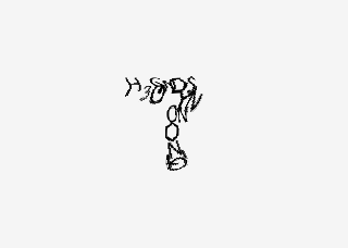 CC(=O)N1CCc2sc3ncnc(OC4CCC(N5CCOCC5)CC4)c3c2C1